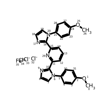 COc1ccc(-n2ccnc2-c2cccc(-c3nccn3-c3ccc(OC)cc3)n2)cc1.[Cl-].[Cl-].[Cl-].[Fe+3]